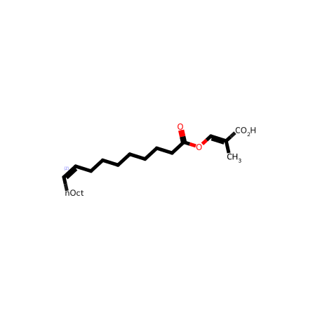 CCCCCCCC/C=C\CCCCCCCC(=O)OC=C(C)C(=O)O